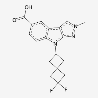 Cn1cc2c3cc(C(=O)O)ccc3n(C3CC4(C3)CC(F)(F)C4)c2n1